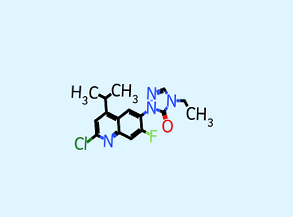 CCn1cnn(-c2cc3c(C(C)C)cc(Cl)nc3cc2F)c1=O